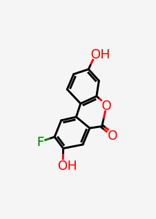 O=c1oc2cc(O)ccc2c2cc(F)c(O)cc12